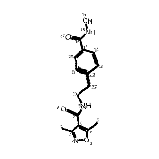 Cc1noc(C)c1C(=O)NCCc1ccc(C(=O)NO)cc1